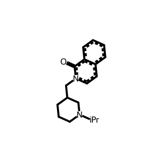 CC(C)N1CCCC(Cn2ccc3ccccc3c2=O)C1